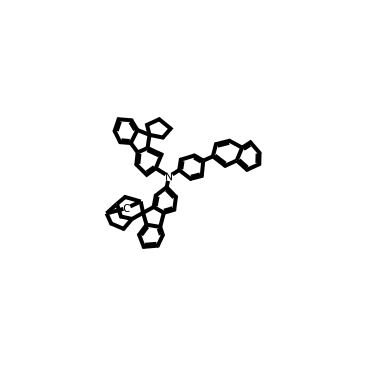 c1ccc2c(c1)-c1ccc(N(c3ccc(-c4ccc5ccccc5c4)cc3)c3ccc4c(c3)C3(c5ccccc5-4)C4CCC5CC3CC5C4)cc1C21CCCC1